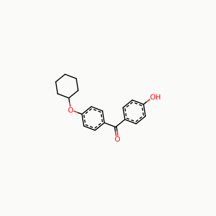 O=C(c1ccc(O)cc1)c1ccc(OC2CCCCC2)cc1